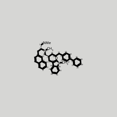 CNC[C@@H](Cc1ccc2ccccc2c1)N(C)C[C@@H](CC(=O)Cc1ccc(-c2ccccc2)cc1)Cc1cn(C)c2ccccc12